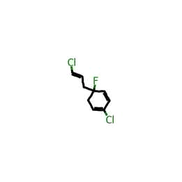 FC1(C/C=C/Cl)C=CC(Cl)=CC1